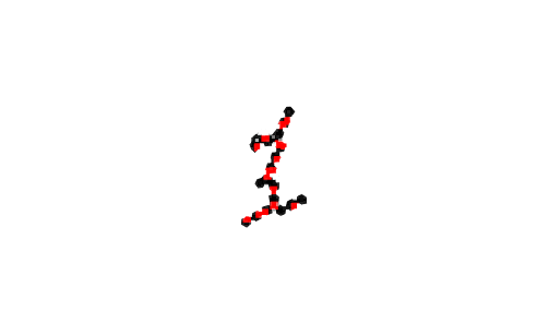 c1ccc(-c2ccc(-c3ccc(N(c4ccc(-c5ccc6oc7c(-c8ccc(-c9ccc(-c%10cccc(N(c%11ccc(-c%12ccc(-c%13ccccc%13)cc%12)cc%11)c%11ccc%12c(c%11)oc%11ccc%13ccccc%13c%11%12)c%10)cc9)cc8)cc8ccccc8c7c6c5)cc4)c4cccc(-c5ccc(-c6ccccc6)cc5)c4)cc3)cc2)cc1